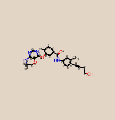 Cc1ccc(C(=O)Nc2ccc(C#CCCO)c(C(F)(F)F)c2)cc1Oc1ncnc2c1OCC(C)(C)N2